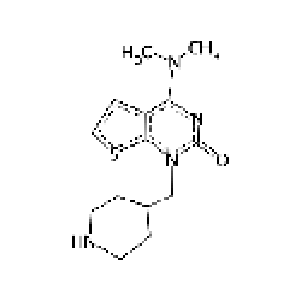 CN(C)c1nc(=O)n(CC2CCNCC2)c2sccc12